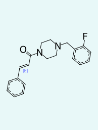 O=C(/C=C/c1ccccc1)N1CCN(Cc2ccccc2F)CC1